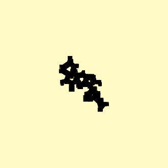 Cc1nc2cnc(N[C@@H](C)c3ccc(F)cc3)nc2n1-c1cc(C2CC2)[nH]n1